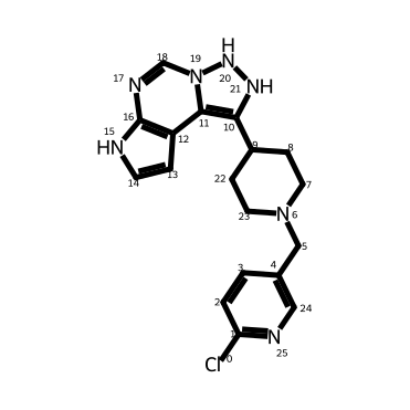 Clc1ccc(CN2CCC(C3=C4c5cc[nH]c5N=CN4NN3)CC2)cn1